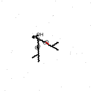 CCCCCCC(CCCCCC)CCCCCC(=O)OCCCCCN(CCCCCOC(=O)CCCCCC(CCCCCC)CCCCCC)CCN(CCO)C1CCC1